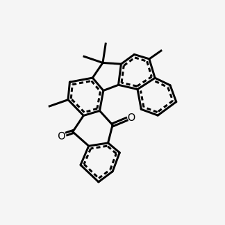 Cc1cc2c(c3c1C(=O)c1ccccc1C3=O)-c1c(cc(C)c3ccccc13)C2(C)C